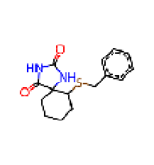 O=C1NC(=O)C2(CCCCC2SCc2ccccc2)N1